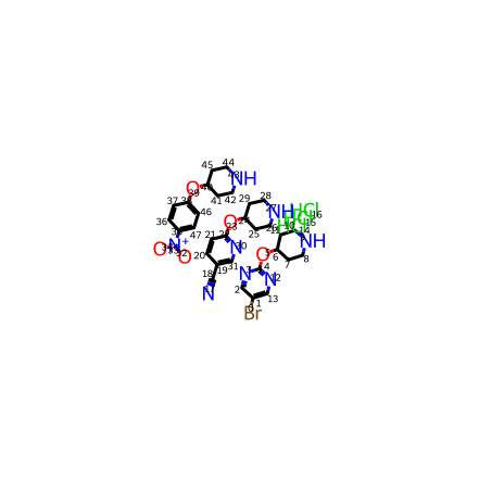 Brc1cnc(OC2CCNCC2)nc1.Cl.Cl.Cl.N#Cc1ccc(OC2CCNCC2)nc1.O=[N+]([O-])c1ccc(OC2CCNCC2)cc1